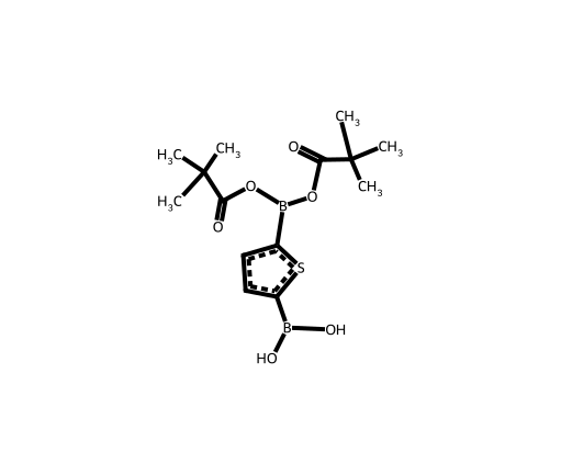 CC(C)(C)C(=O)OB(OC(=O)C(C)(C)C)c1ccc(B(O)O)s1